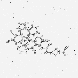 CC(=O)N1CC(OC(=O)Oc2c3n(ccc2=O)N([C@@H]2c4ccccc4-c4scnc4-c4c2ccc(F)c4F)[C@@H]2COCCN2C3=O)C1